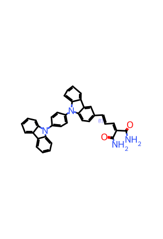 NC(=O)C(=C/C=C/c1ccc2c(c1)c1ccccc1n2-c1ccc(-n2c3ccccc3c3ccccc32)cc1)C(N)=O